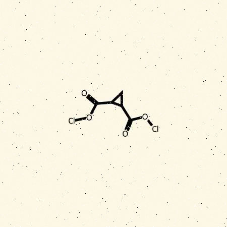 O=C(OCl)C1CC1C(=O)OCl